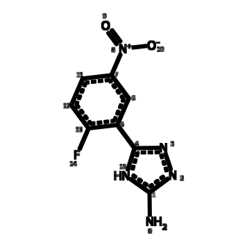 Nc1nnc(-c2cc([N+](=O)[O-])ccc2F)[nH]1